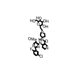 COc1cnc(-c2cc(Cl)ccc2F)nc1Nc1ccncc1C(=O)NC1CCN(CCC2OC(CO)C(O)C(O)C2O)CC1